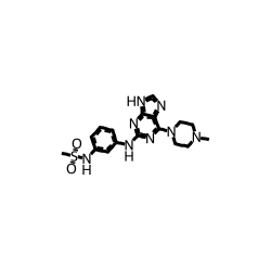 CN1CCN(c2nc(Nc3cccc(NS(C)(=O)=O)c3)nc3[nH]cnc23)CC1